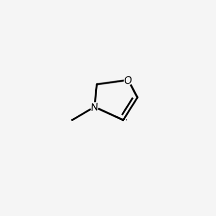 CN1[C]=COC1